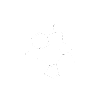 CCc1sc(N(C)C(=O)c2ccc(Cl)cc2)nc1-c1nn[nH]c1C#N